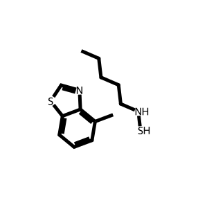 CCCCCNS.Cc1cccc2scnc12